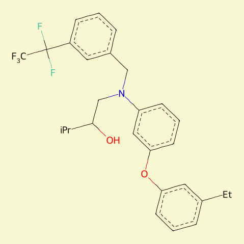 CCc1cccc(Oc2cccc(N(Cc3cccc(C(F)(F)C(F)(F)F)c3)CC(O)C(C)C)c2)c1